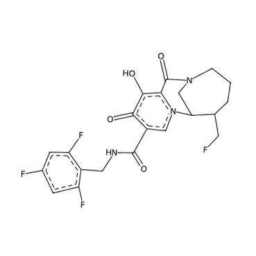 O=C(NCc1c(F)cc(F)cc1F)c1cn2c(c(O)c1=O)C(=O)N1CCCC(CF)C2C1